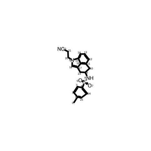 Cc1ccc(S(=O)(=O)NC2Cc3cccc4c3c(cn4CCC#N)C2)cc1